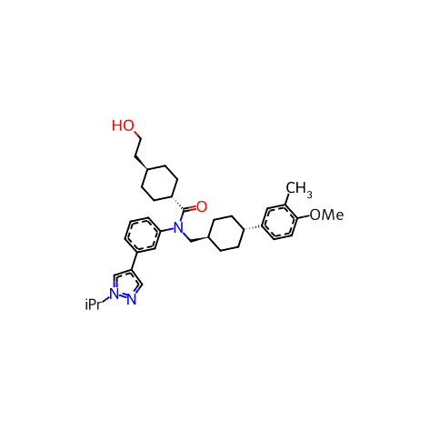 COc1ccc([C@H]2CC[C@H](CN(c3cccc(-c4cnn(C(C)C)c4)c3)C(=O)[C@H]3CC[C@H](CCO)CC3)CC2)cc1C